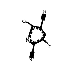 N#Cc1cc(F)c(C#N)nc1Cl